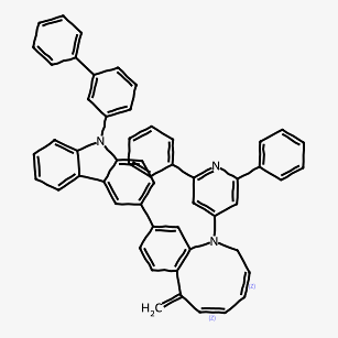 C=C1/C=C\C=C/CN(c2cc(-c3ccccc3)nc(-c3ccccc3)c2)c2cc(-c3ccc4c(c3)c3ccccc3n4-c3cccc(-c4ccccc4)c3)ccc21